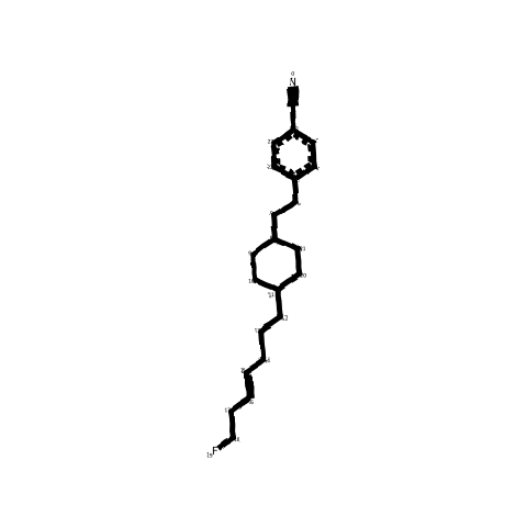 N#Cc1ccc(CCC2CCC(CCC/C=C/CCF)CC2)cc1